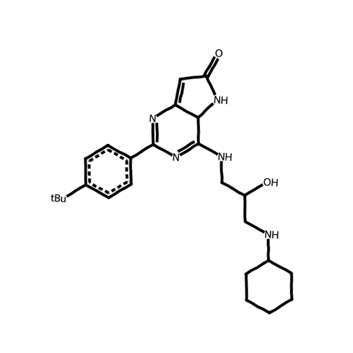 CC(C)(C)c1ccc(C2=NC3=CC(=O)NC3C(NCC(O)CNC3CCCCC3)=N2)cc1